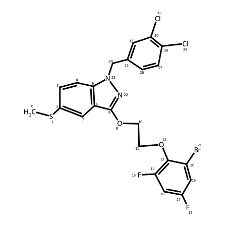 CSc1ccc2c(c1)c(OCCOc1c(F)cc(F)cc1Br)nn2Cc1ccc(Cl)c(Cl)c1